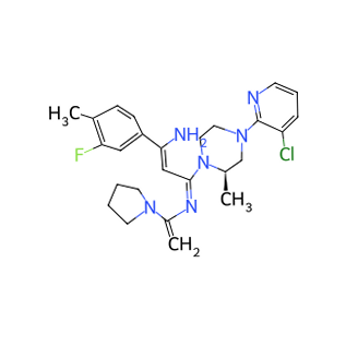 C=C(/N=C(\C=C(/N)c1ccc(C)c(F)c1)N1CCN(c2ncccc2Cl)C[C@H]1C)N1CCCC1